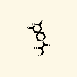 N=CC(=N)C(=O)N1CCC2(CC1)CC(=O)NC(=O)C2